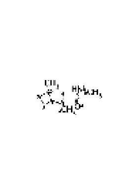 CNC(=O)CC(C)C1CCC1C